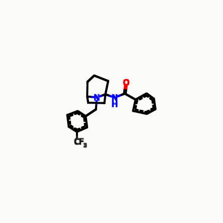 O=C(NC12CCCC(CC1)N2Cc1cccc(C(F)(F)F)c1)c1ccccc1